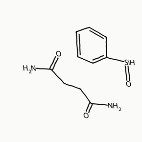 NC(=O)CCC(N)=O.O=[SiH]c1ccccc1